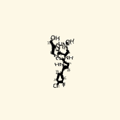 O=C(NC(CNO)c1ncc(CO)s1)c1ccc(-c2ccc(Cl)c(F)c2)[nH]1